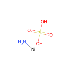 O=S(=O)(O)O.[NH2][Ni]